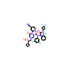 N#Cc1ccnc(N2C(=O)CN(CC(O)C3CCC3)C[C@H]2C(=O)N(c2cc(F)cc(F)c2)[C@H](C(=O)NC2CC(F)(F)C2)c2ccccc2Cl)c1